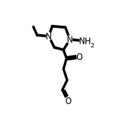 CCN1CCN(N)C(C(=O)CCC=O)C1